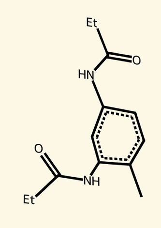 CCC(=O)Nc1ccc(C)c(NC(=O)CC)c1